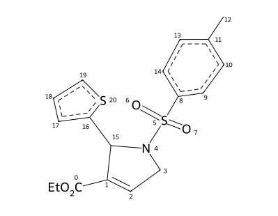 CCOC(=O)C1=CCN(S(=O)(=O)c2ccc(C)cc2)C1c1cccs1